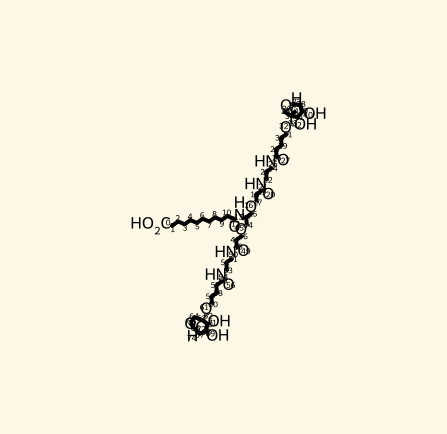 O=C(O)CCCCCCCCCCC(=O)NC(COCCC(=O)NCCCNC(=O)CCCCOC[C@]12CO[C@H](C[C@@H](O)[C@H]1O)O2)COCCC(=O)NCCCNC(=O)CCCCOC[C@]12CO[C@H](C[C@@H](O)[C@H]1O)O2